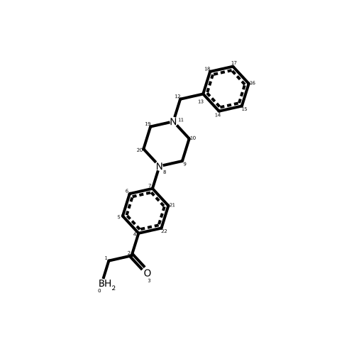 BCC(=O)c1ccc(N2CCN(Cc3ccccc3)CC2)cc1